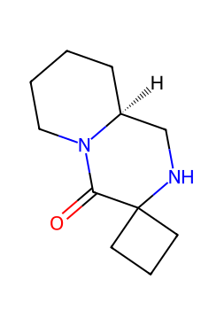 O=C1N2CCCC[C@H]2CNC12CCC2